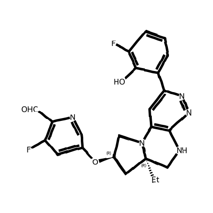 CC[C@@]12CNc3nnc(-c4cccc(F)c4O)cc3N1C[C@H](Oc1cnc(C=O)c(F)c1)C2